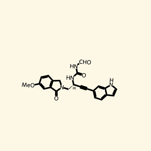 COc1ccc2c(c1)C(=O)N(C[C@@H](C#Cc1ccc3cc[nH]c3c1)NC(=O)NC=O)C2